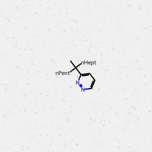 CCCCCCCC(C)(CCCCC)c1cccnn1